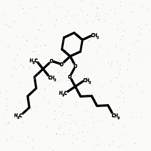 CCCCCC(C)(C)OOC1(OOC(C)(C)CCCCC)CCCC(C)C1